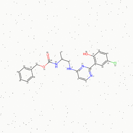 CC(CNc1ccnc(-c2cc(Cl)ccc2O)n1)NC(=O)OCc1ccccc1